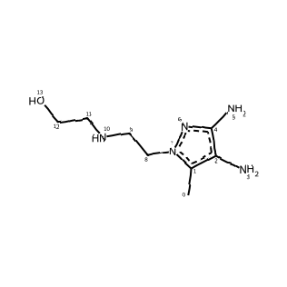 Cc1c(N)c(N)nn1CCNCCO